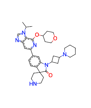 CC(C)n1cnc2cc(-c3ccc4c(c3)N(C3CC(N5CCCCC5)C3)C(=O)C43CCNCC3)nc(OC3CCOCC3)c21